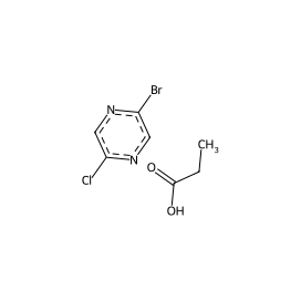 CCC(=O)O.Clc1cnc(Br)cn1